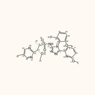 COc1cccc(-c2nnc(NS(=O)(=O)[C@@H](C)[C@H](OC)c3ncc(C)cn3)n2-c2c(F)cccc2OC)n1